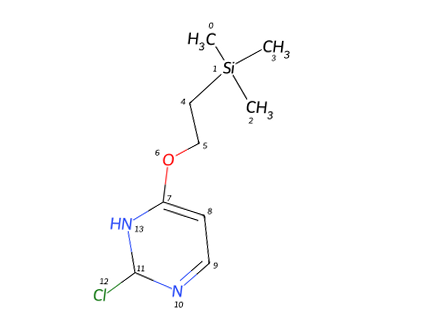 C[Si](C)(C)CCOC1=CC=NC(Cl)N1